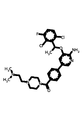 CC(Oc1cc(-c2ccc(C(=O)N3CCN(CCN(C)C)CC3)cc2)cnc1N)c1c(Cl)ccc(F)c1Cl